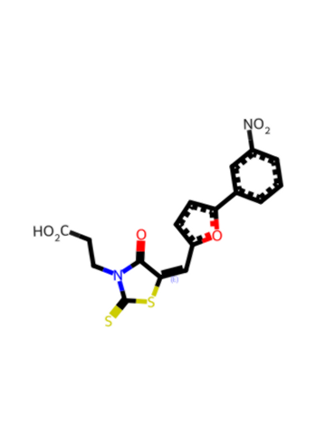 O=C(O)CCN1C(=O)/C(=C\c2ccc(-c3cccc([N+](=O)[O-])c3)o2)SC1=S